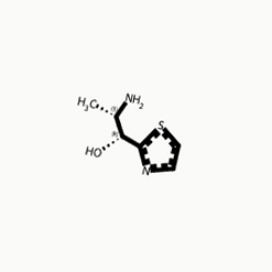 C[C@H](N)[C@@H](O)c1nccs1